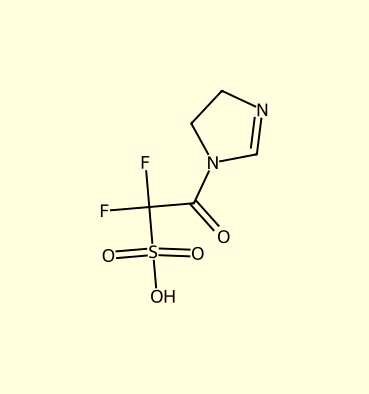 O=C(N1C=NCC1)C(F)(F)S(=O)(=O)O